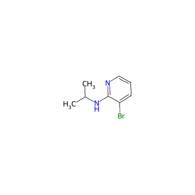 CC(C)Nc1ncccc1Br